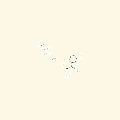 COc1ccc2c3c1O[C@H]1C[C@@H](O)C(C)[C@@]31CCN(COC(=O)CNC(=O)OC(C)(C)C)C2